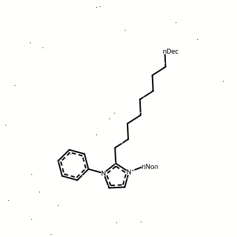 CCCCCCCCCCCCCCCCCCc1n(-c2ccccc2)cc[n+]1CCCCCCCCC